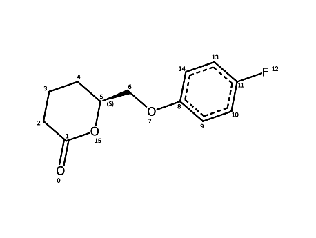 O=C1CCC[C@@H](COc2ccc(F)cc2)O1